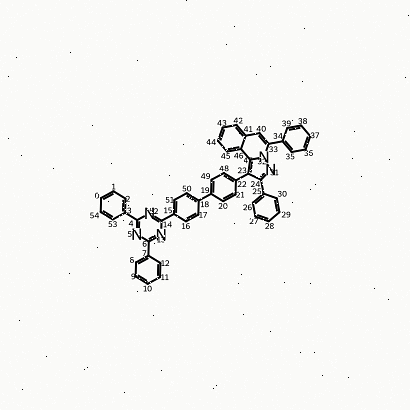 c1ccc(-c2nc(-c3ccccc3)nc(-c3ccc(-c4ccc(-c5c(-c6ccccc6)nn6c(-c7ccccc7)cc7ccccc7c56)cc4)cc3)n2)cc1